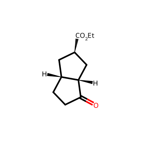 CCOC(=O)[C@@H]1C[C@H]2CCC(=O)[C@H]2C1